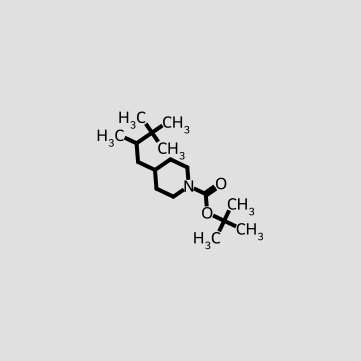 CC(CC1CCN(C(=O)OC(C)(C)C)CC1)C(C)(C)C